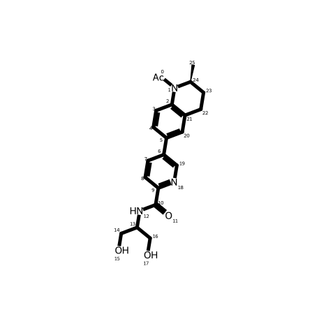 CC(=O)N1c2ccc(-c3ccc(C(=O)NC(CO)CO)nc3)cc2CC[C@@H]1C